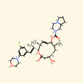 C/C(=C\c1cc(F)cc(N2CCOCC2)c1)[C@H]1OC(=O)C[C@H](O)CC[C@H](C)[C@H](OC(=O)N2CCN3CCCC3C2)/C=C/[C@@H]1C